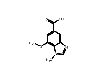 COc1cc(C(=O)O)cc2ncn(C)c12